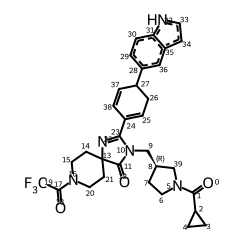 O=C(C1CC1)N1CC[C@@H](CN2C(=O)C3(CCN(C(=O)C(F)(F)F)CC3)N=C2C2=CCC(c3ccc4[nH]ccc4c3)C=C2)C1